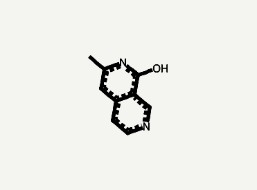 Cc1cc2ccncc2c(O)n1